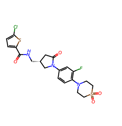 O=C(NC[C@@H]1CC(=O)N(c2ccc(N3CCS(=O)(=O)CC3)c(F)c2)C1)c1ccc(Cl)s1